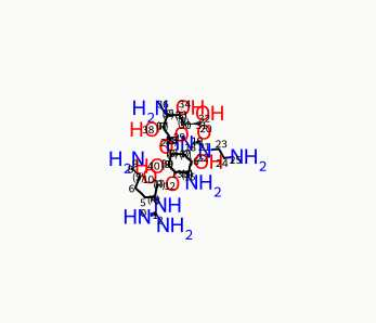 N=C(N)N[C@@H]1CC[C@@H](CN)O[C@@H]1OC1[C@@H](N)C[C@@H](NC(=O)N(O)CCN)[C@H](O[C@H]2O[C@H](CO)[C@@H](O)[C@H](N)[C@H]2O)[C@H]1O